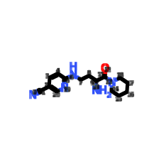 N#Cc1ccc(NCC[C@H](N)C(=O)N2CCCCC2)nc1